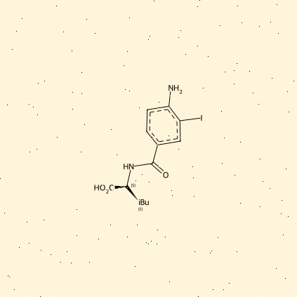 CC[C@H](C)[C@H](NC(=O)c1ccc(N)c(I)c1)C(=O)O